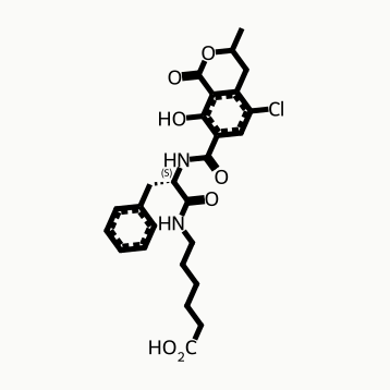 CC1Cc2c(Cl)cc(C(=O)N[C@@H](Cc3ccccc3)C(=O)NCCCCCC(=O)O)c(O)c2C(=O)O1